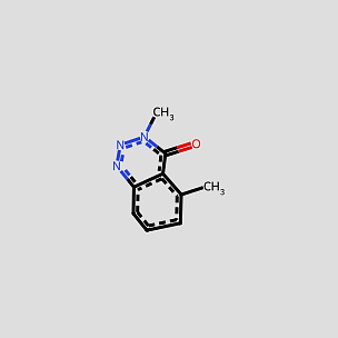 Cc1cccc2nnn(C)c(=O)c12